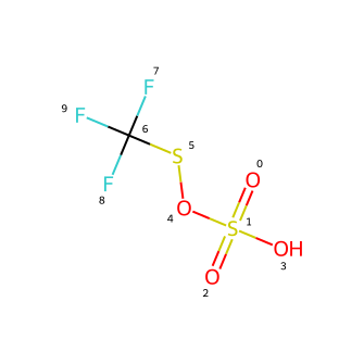 O=S(=O)(O)OSC(F)(F)F